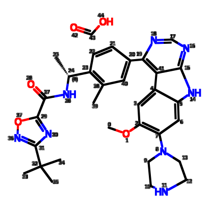 COc1cc2c(cc1N1CCNCC1)[nH]c1ncnc(-c3ccc([C@@H](C)NC(=O)c4nc(C(C)(C)C)no4)c(C)c3)c12.O=CO